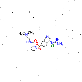 CN(C)CCNC(=O)C1CCCN1S(=O)(=O)c1ccc2c(N(Cl)C(=N)N)cncc2c1